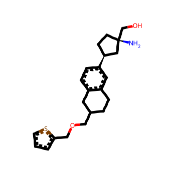 N[C@]1(CO)CC[C@H](c2ccc3c(c2)CCC(COCc2cccs2)C3)C1